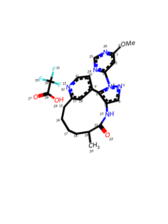 COc1cc(-n2ncc3c2-c2ccnc(c2)CCCCC(C)C(=O)N3)ncn1.O=C(O)C(F)(F)F